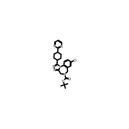 CC(C)(C)OC(=O)N1Cc2cc(Cl)ccc2-n2c(nnc2C2CCC(c3ncccn3)CC2)C1